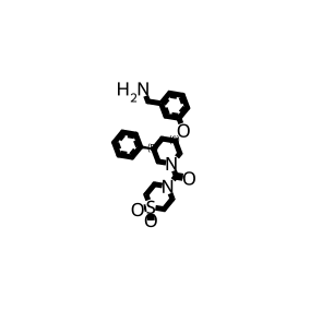 NCc1cccc(O[C@H]2C[C@H](c3ccccc3)CN(C(=O)N3CCS(=O)(=O)CC3)C2)c1